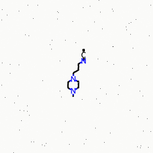 C=C=NCCCN1CCN(C)CC1